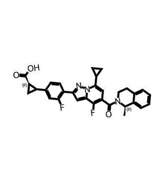 C[C@@H]1c2ccccc2CCN1C(=O)c1cc(C2CC2)n2nc(-c3ccc(C4C[C@H]4C(=O)O)cc3F)cc2c1F